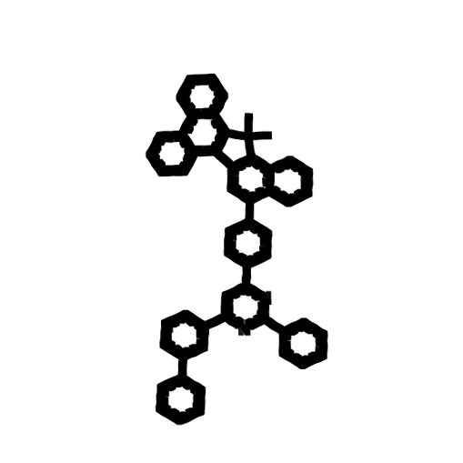 CC1(C)c2c(cc(-c3ccc(-c4cc(-c5cccc(-c6ccccc6)c5)nc(-c5ccccc5)n4)cc3)c3ccccc23)-c2c1c1ccccc1c1ccccc21